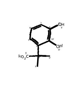 CC(C)(C(=O)O)c1cccc(O)c1O